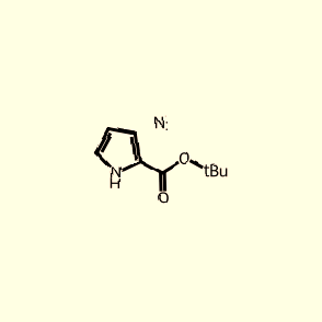 CC(C)(C)OC(=O)c1ccc[nH]1.[N]